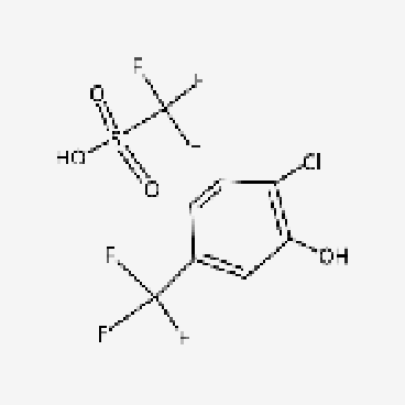 O=S(=O)(O)C(F)(F)F.Oc1cc(C(F)(F)F)ccc1Cl